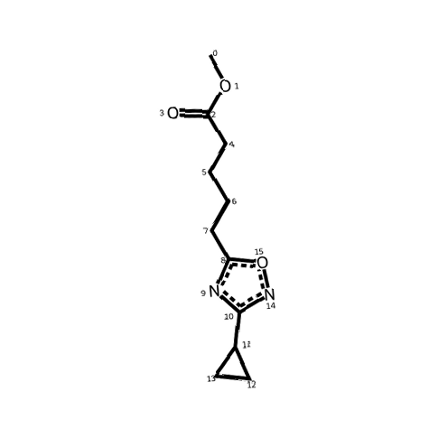 COC(=O)CCCCc1nc(C2CC2)no1